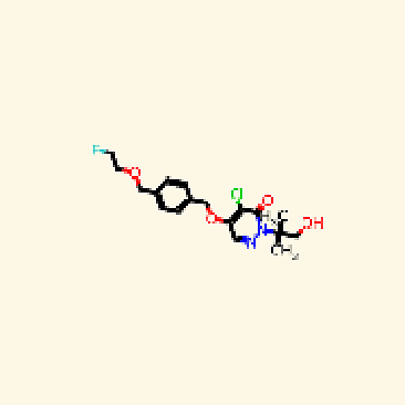 CC(C)(CO)n1ncc(OCc2ccc(COCCF)cc2)c(Cl)c1=O